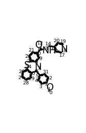 COc1ccc(C2=Nc3cc(C(=O)NCc4ccncc4)ccc3Sc3ccccc32)cc1